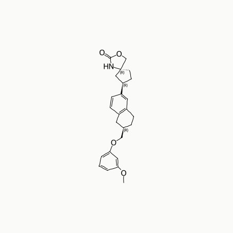 COc1cccc(OC[C@@H]2CCc3cc([C@@H]4CC[C@]5(COC(=O)N5)C4)ccc3C2)c1